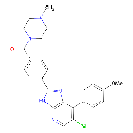 COc1ccc(-c2c(Cl)cnc3[nH]c(-c4ccc(C(=O)N5CCN(C)CC5)cc4)nc23)cc1